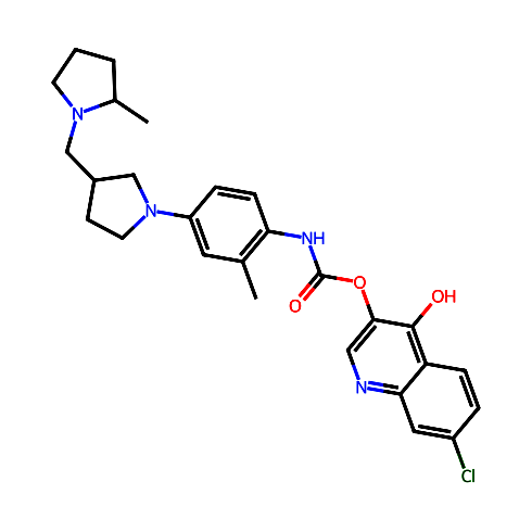 Cc1cc(N2CCC(CN3CCCC3C)C2)ccc1NC(=O)Oc1cnc2cc(Cl)ccc2c1O